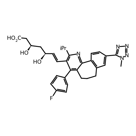 CC(C)c1nc2c(c(-c3ccc(F)cc3)c1/C=C/[C@@H](O)C[C@@H](O)CC(=O)O)CCCc1cc(-c3nnnn3C)ccc1-2